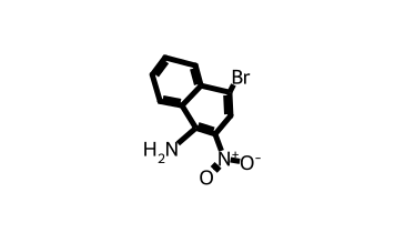 Nc1c([N+](=O)[O-])cc(Br)c2ccccc12